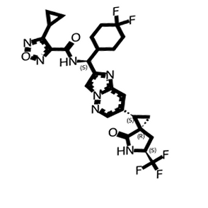 O=C(N[C@H](c1cn2ncc([C@@H]3C[C@@]34C[C@@H](C(F)(F)F)NC4=O)cc2n1)C1CCC(F)(F)CC1)c1nonc1C1CC1